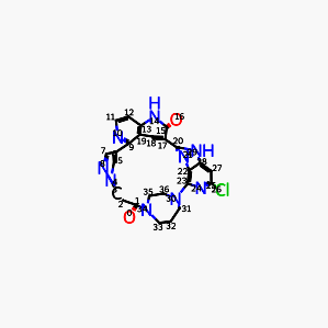 O=C1CCn2cc(cn2)-c2nccc3[nH]c(=O)c(cc23)-c2nc3c(nc(Cl)cc3[nH]2)N2CCCN1CC2